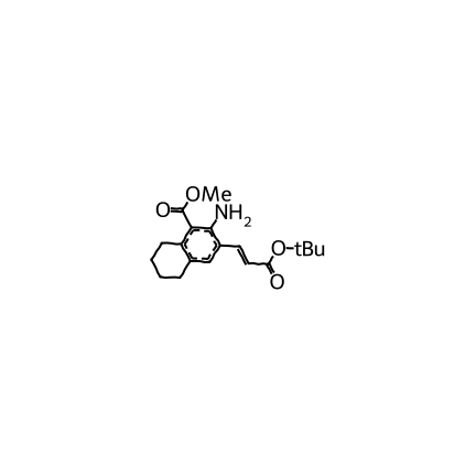 COC(=O)c1c(N)c(C=CC(=O)OC(C)(C)C)cc2c1CCCC2